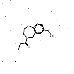 COc1ccc2c(c1)CN(C(=O)CI)CCS2